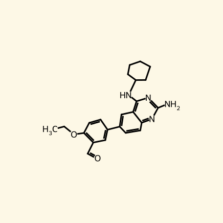 CCOc1ccc(-c2ccc3nc(N)nc(NC4CCCCC4)c3c2)cc1C=O